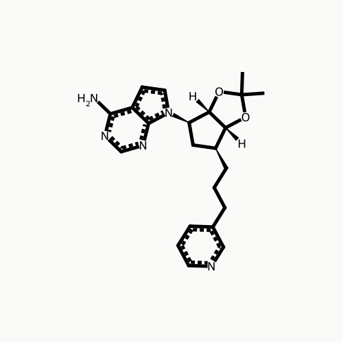 CC1(C)O[C@@H]2[C@@H](CCCc3cccnc3)C[C@@H](n3ccc4c(N)ncnc43)[C@@H]2O1